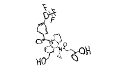 O=C(O)CCC(=O)N(C1CC1)C1c2cc(CO)ccc2N(C(=O)c2ccc(OC(F)(F)F)cc2)C2CCCC21